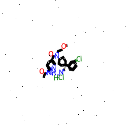 COCCN(C(=O)c1ccc(NC(C)=O)nc1)[C@H]1CC[C@](CN)(c2cccc(Cl)c2)CC1.Cl